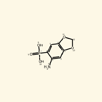 Nc1cc2c(cc1P(=O)(O)O)OCO2